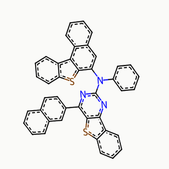 c1ccc(N(c2nc(-c3ccc4ccccc4c3)c3sc4ccccc4c3n2)c2cc3ccccc3c3c2sc2ccccc23)cc1